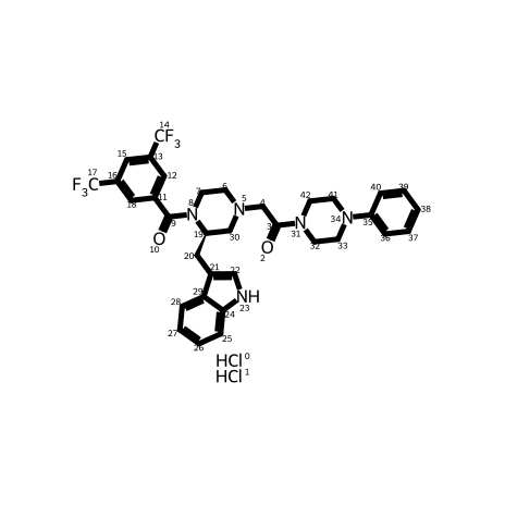 Cl.Cl.O=C(CN1CCN(C(=O)c2cc(C(F)(F)F)cc(C(F)(F)F)c2)[C@H](Cc2c[nH]c3ccccc23)C1)N1CCN(c2ccccc2)CC1